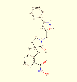 O=C(NO)c1cccc2c1CC1(CCN(Cc3cc(-c4ccccc4)no3)C1=O)C2